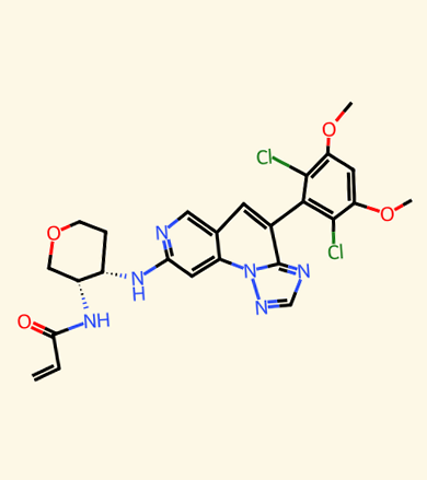 C=CC(=O)N[C@@H]1COCC[C@@H]1Nc1cc2c(cn1)cc(-c1c(Cl)c(OC)cc(OC)c1Cl)c1ncnn12